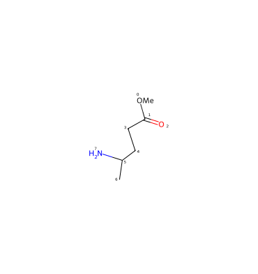 COC(=O)CCC(C)N